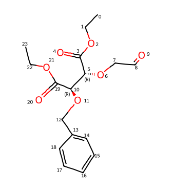 CCOC(=O)[C@H](OCC=O)[C@@H](OCc1ccccc1)C(=O)OCC